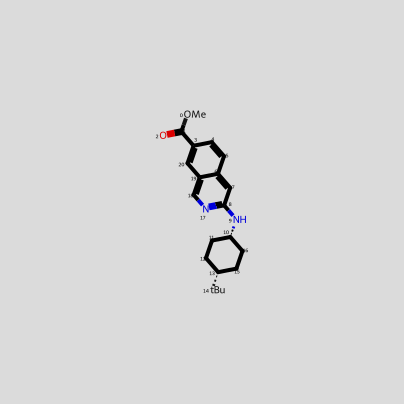 COC(=O)c1ccc2cc(N[C@H]3CC[C@@H](C(C)(C)C)CC3)ncc2c1